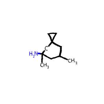 CC1CC(C)(N)CC2(CC2)C1